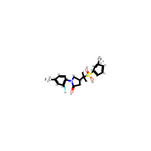 CC(C)(C1CC(=O)N(c2ccc(C(F)(F)F)cc2F)C1)S(=O)(=O)c1cccc(C(F)(F)F)c1